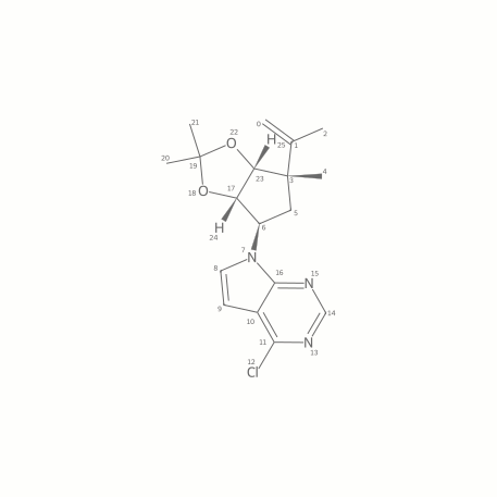 C=C(C)[C@]1(C)C[C@@H](n2ccc3c(Cl)ncnc32)[C@@H]2OC(C)(C)O[C@@H]21